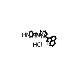 Cl.c1cc2c3c(c1)c(-c1ccnc(NCC4CCNCC4)n1)cn3CCC2